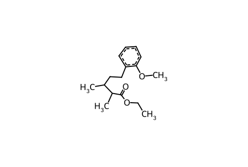 CCOC(=O)C(C)C(C)CCc1ccccc1OC